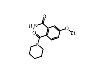 CCOc1ccc(C(=O)N2CCCCC2)c(C(N)=O)c1